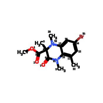 COC(=O)C1(C)C(=O)N(C)c2c(C)cc(Br)cc2N1C